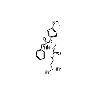 CC(C)N(CCOC(=O)[C@H](C)NP(=O)(Oc1ccccc1)Oc1ccc([N+](=O)[O-])cc1)C(C)C